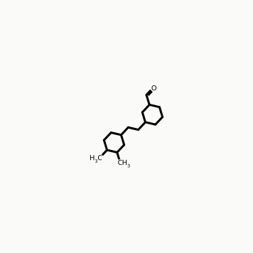 CC1CCC(CCC2CCCC(C=O)C2)CC1C